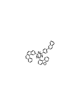 c1ccc2cc(-c3ccc(-c4nc(-c5ccc6ccc7ccc8ccccc8c7c6c5)nc(-c5cccc6oc7ccccc7c56)n4)cc3)ccc2c1